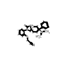 CN(C)[C@]1(c2ccccc2)CC[C@]2(CC1)CN(c1ccccc1OCC#N)C(=O)N2